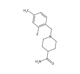 Cc1ccc(CN2CCC(C(N)=O)CC2)c(F)c1